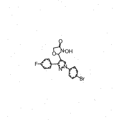 O=C1COC(c2cn(-c3ccc(Br)cc3)nc2-c2ccc(F)cc2)N1O